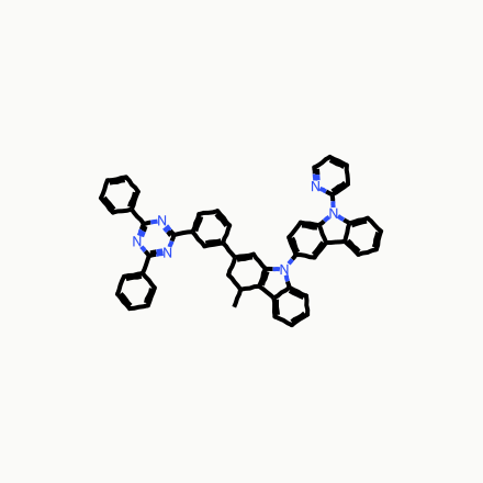 CC1CC(c2cccc(-c3nc(-c4ccccc4)nc(-c4ccccc4)n3)c2)=Cc2c1c1ccccc1n2-c1ccc2c(c1)c1ccccc1n2-c1ccccn1